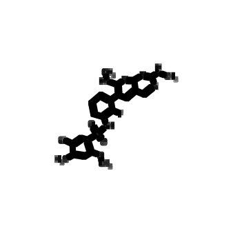 CNc1ncc2cc(-c3cccc(NS(=O)(=O)c4cc(Cl)c(C)cc4OC)c3F)c(NC)nc2n1